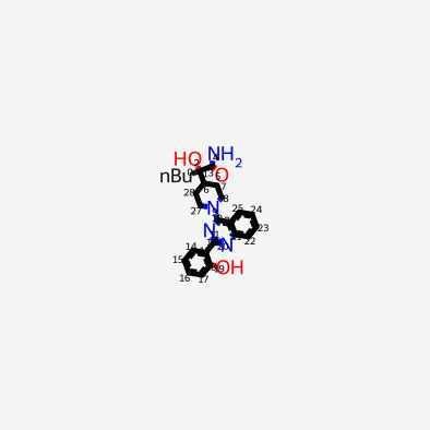 CCCCC(O)(C(N)=O)C1CCN(c2nc(-c3ccccc3O)nc3ccccc23)CC1